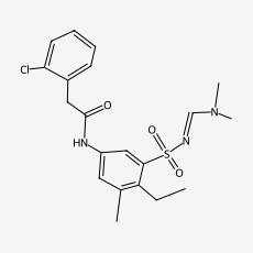 CCc1c(C)cc(NC(=O)Cc2ccccc2Cl)cc1S(=O)(=O)/N=C/N(C)C